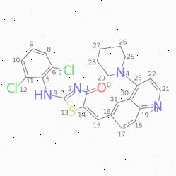 O=C1N=C(Nc2c(Cl)cccc2Cl)SC1=Cc1ccc2nccc(N3CCCCC3)c2c1